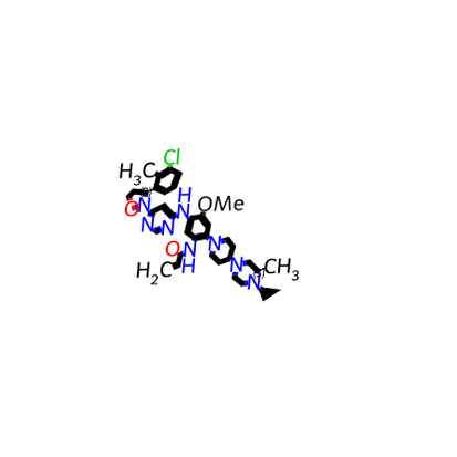 C=CC(=O)Nc1cc(Nc2cc(N3OCC[C@@H]3c3cccc(Cl)c3C)ncn2)c(OC)cc1N1CCC(N2CCN(C3CC3)[C@@H](C)C2)CC1